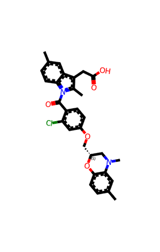 Cc1ccc2c(c1)N(C)C[C@@H](COc1ccc(C(=O)n3c(C)c(CC(=O)O)c4cc(C)ccc43)c(Cl)c1)O2